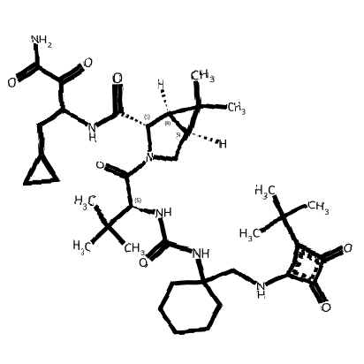 CC(C)(C)c1c(NCC2(NC(=O)N[C@H](C(=O)N3C[C@H]4[C@@H]([C@H]3C(=O)NC(CC3CC3)C(=O)C(N)=O)C4(C)C)C(C)(C)C)CCCCC2)c(=O)c1=O